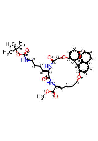 COC(=O)/C1=C/C=C/COc2ccc3ccccc3c2-c2c(ccc3ccccc23)OCC(=O)N/C(=C\CCCNC(=O)OC(C)(C)C)C(=O)N1